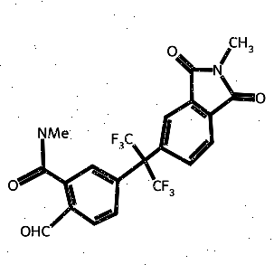 CNC(=O)c1cc(C(c2ccc3c(c2)C(=O)N(C)C3=O)(C(F)(F)F)C(F)(F)F)ccc1C=O